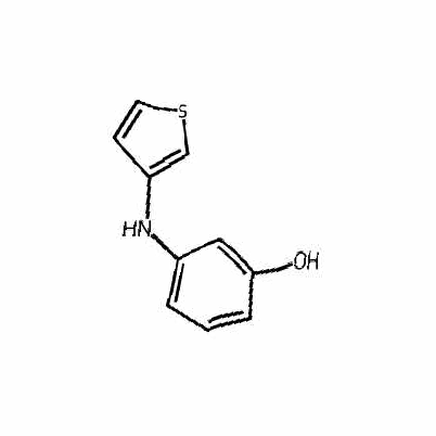 Oc1cccc(Nc2ccsc2)c1